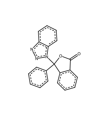 O=C1OC(c2ccccc2)(n2nnc3ccccc32)c2ccccc21